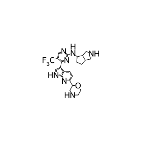 FC(F)(F)c1cnc(NC2CCC3CNCC32)nc1-c1c[nH]c2nc(C3CNCCO3)ccc12